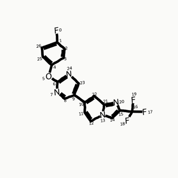 Fc1ccc(Oc2ncc(-c3ccn4cc(C(F)(F)F)nc4c3)cn2)cc1